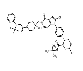 C[C@H]1CN(C(=O)OC(C)(C)C)[C@H](c2ccc(-n3c(Cl)cc4c(=O)n(CC5(O)CCN(C(=O)C[C@H](c6ccccc6)C(F)(F)F)CC5)cnc43)cc2)CO1